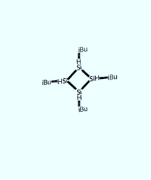 CCC(C)[SiH]1[SiH](C(C)CC)[SiH](C(C)CC)[SiH]1C(C)CC